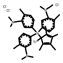 CC1=C(C)[C]([Ti+3])([Si](c2ccc(C)c(N(C)C)c2)(c2ccc(C)c(N(C)C)c2)c2ccc(C)c(N(C)C)c2)C(C)=C1C.[Cl-].[Cl-].[Cl-]